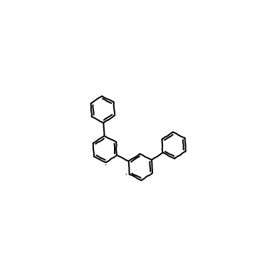 [c]1ccc(-c2ccccc2)cc1-c1[c]ccc(-c2ccccc2)c1